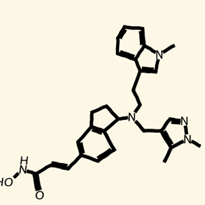 Cc1c(CN(CCc2cn(C)c3ccccc23)C2CCc3cc(C=CC(=O)NO)ccc32)cnn1C